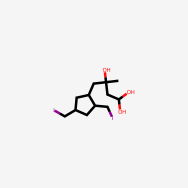 CC(O)(CC(O)O)CC1CC(CI)CC1CI